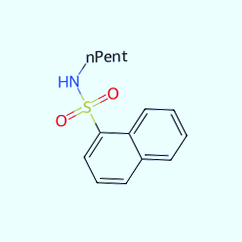 CCCCCNS(=O)(=O)c1cccc2ccccc12